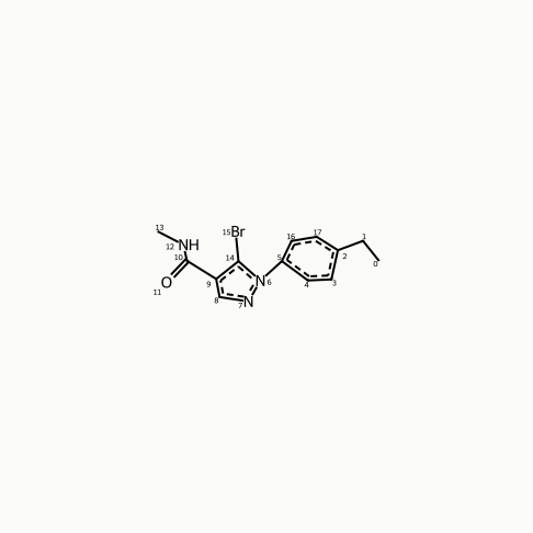 CCc1ccc(-n2ncc(C(=O)NC)c2Br)cc1